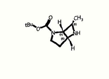 C[C@H]1N[C@@H]2CCN(C(=O)OC(C)(C)C)[C@H]12